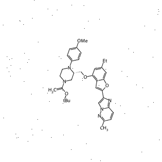 C=C(OC(C)(C)C)N1CCN(c2ccc(OC)cc2)[C@H](COc2cc(CC)cc3oc(-c4cn5nc(C)ccc5n4)cc23)C1